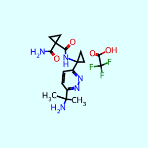 CC(C)(N)c1ccc(C2(NC(=O)C3(C(N)=O)CC3)CC2)nn1.O=C(O)C(F)(F)F